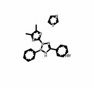 Br.Cc1nc(N2N=C(c3ccccc3)NN2c2ccccc2)sc1C.[c]1nccs1